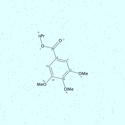 [CH2]CCOC(=O)c1cc(OC)c(OC)c(OC)c1